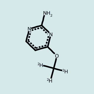 [2H]C([2H])([2H])Oc1ccnc(N)n1